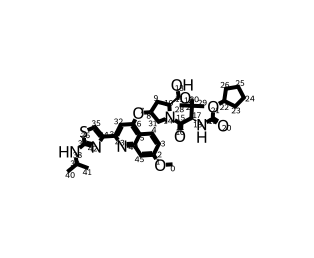 COc1ccc2c(OC3C[C@@H](C(=O)O)N(C(=O)[C@@H](NC(=O)OC4CCCC4)C(C)(C)C)C3)cc(-c3csc(NC(C)C)n3)nc2c1